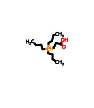 CCCC[PH](CCCC)(CCCC)CCC(=O)O